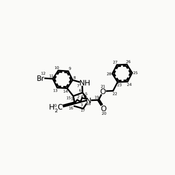 C=C1CCCC[C@]23Nc4ccc(Br)cc4[C@]12CCN3C(=O)OCc1ccccc1